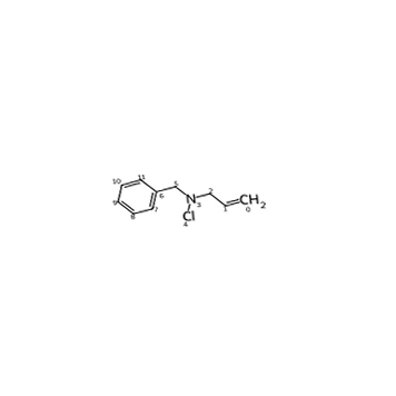 C=CCN(Cl)Cc1ccccc1